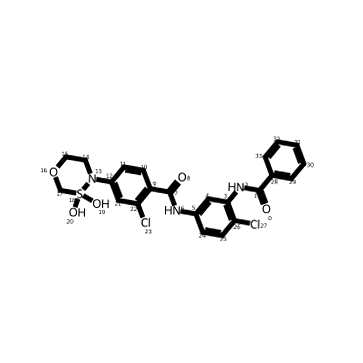 O=C(Nc1cc(NC(=O)c2ccc(N3CCOCS3(O)O)cc2Cl)ccc1Cl)c1ccccc1